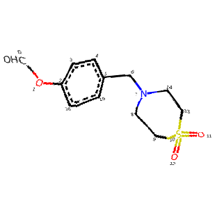 O=COc1ccc(CN2CCS(=O)(=O)CC2)cc1